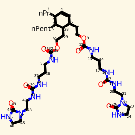 CCCCCC1C(CCC)C=CC(CCOC(=O)NCCCNC(=O)NCCN2CCNC2=O)C1CCOC(=O)NCCCNC(=O)NCCN1CCNC1=O